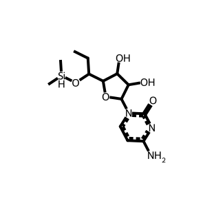 CCC(O[SiH](C)C)C1OC(n2ccc(N)nc2=O)C(O)C1O